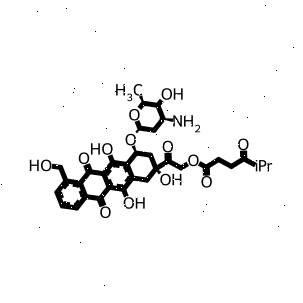 CC(C)C(=O)CCC(=O)OCC(=O)[C@]1(O)Cc2c(O)c3c(c(O)c2[C@@H](O[C@H]2C[C@H](N)C(O)[C@H](C)O2)C1)C(=O)c1c(CO)cccc1C3=O